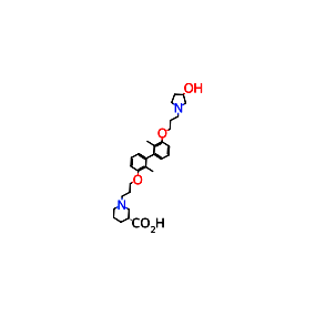 Cc1c(OCCCN2CC[C@@H](O)C2)cccc1-c1cccc(OCCCN2CCC[C@@H](C(=O)O)C2)c1C